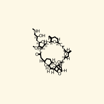 C=C1C[C@@H]2CC[C@@]3(O)C[C@H]4OC5[C@@H]6C(O[C@H]7CC[C@H](CC(=O)C[C@@H]8[C@@H](OC)[C@@H](C[C@H](O)CNC)O[C@H]8C[C@H]8O[C@H](CCC8=C)CC[C@@H]1O2)O[C@@H]7[C@@H]6O3)[C@@H]54